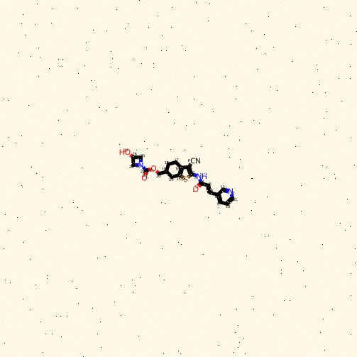 N#Cc1c(NC(=O)/C=C/c2cccnc2)sc2c1CCC(COC(=O)N1CC(O)C1)C2